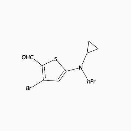 CCCN(c1cc(Br)c(C=O)s1)C1CC1